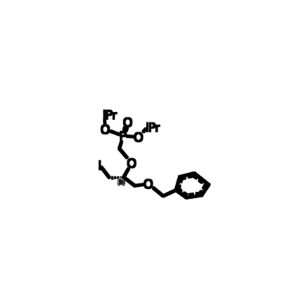 CC(C)OP(=O)(CO[C@@H](CI)COCc1ccccc1)OC(C)C